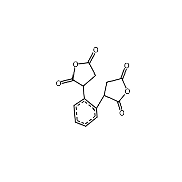 O=C1CC(c2ccccc2C2CC(=O)OC2=O)C(=O)O1